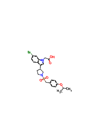 CC(C)Oc1ccc(CS(=O)(=O)N2CCC(c3cn(CC(=O)O)c4cc(Br)ccc34)C2)cc1